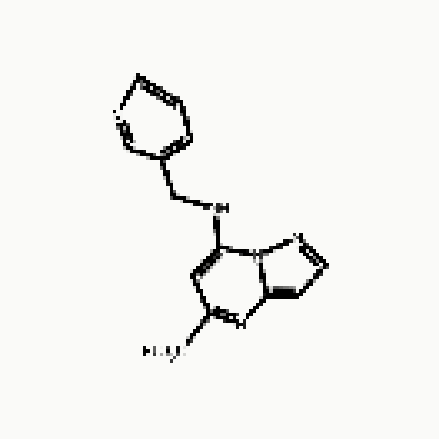 CCOC(=O)c1cc(NCc2cccnc2)n2nccc2n1